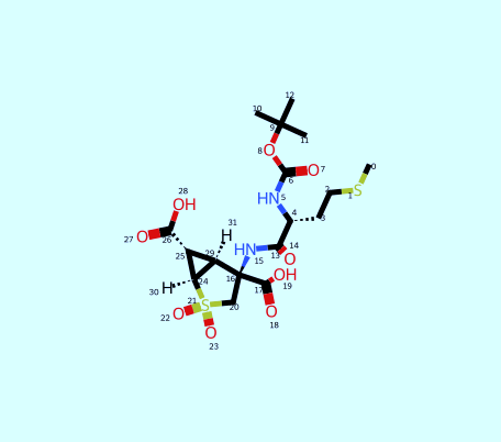 CSCC[C@@H](NC(=O)OC(C)(C)C)C(=O)N[C@@]1(C(=O)O)CS(=O)(=O)[C@H]2[C@H](C(=O)O)[C@H]21